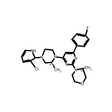 C[C@@H]1COCCN1c1nc(-c2ccc(F)cc2)cc(N2CCN(C3NC=[C]C=C3Cl)C[C@@H]2C)n1